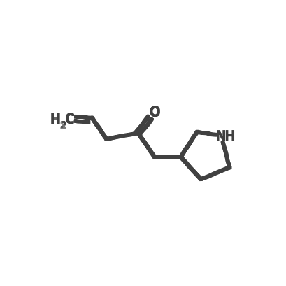 C=CCC(=O)CC1CCNC1